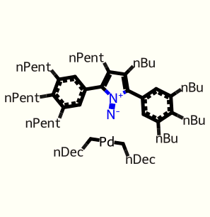 CCCCCC1=C(c2cc(CCCCC)c(CCCCC)c(CCCCC)c2)[N+](=[N-])C(c2cc(CCCC)c(CCCC)c(CCCC)c2)=C1CCCC.CCCCCCCCCC[CH2][Pd][CH2]CCCCCCCCCC